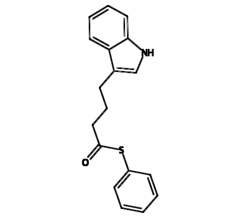 O=C(CCCc1c[nH]c2ccccc12)Sc1ccccc1